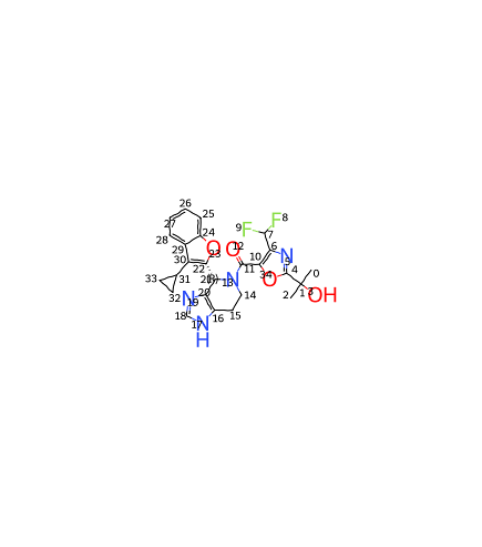 CC(C)(O)c1nc(C(F)F)c(C(=O)N2CCc3[nH]cnc3[C@@H]2c2oc3ccccc3c2C2CC2)o1